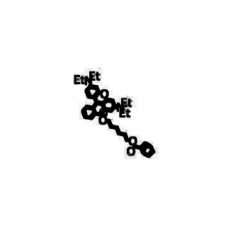 CCN(CC)c1ccc2c(-c3ccccc3C(=O)OCCCCCCOC(=O)C3CC4C=CC3C4)c3ccc(=[N+](CC)CC)cc-3oc2c1